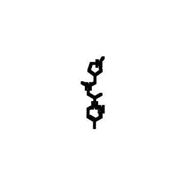 CC1=CCN(C(C)CN(C)CC2CCN(C)C2)N=C1